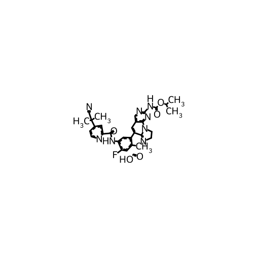 Cc1cc(F)c(NC(=O)c2cc(C(C)(C)C#N)ccn2)cc1C1=Cc2cnc(NC(=O)OC(C)C)nc2N2CCN=C12.O=CO